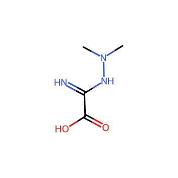 CN(C)NC(=N)C(=O)O